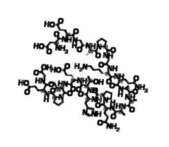 CC[C@H](C)[C@H](NC(=O)[C@H](CCC(=O)O)NC(=O)[C@@H](NC(=O)[C@H](Cc1c[nH]cn1)NC(=O)[C@@H]1CCCN1C(=O)[C@H](CCC(N)=O)NC(=O)[C@H](C)NC(=O)[C@H](C)NC(=O)[C@H](C)NC(=O)[C@H](CCC(N)=O)NC(=O)[C@H](CCCCN)NC(=O)CNC(=O)[C@@H]1CCCN1C(=O)[C@H](C)NC(=O)CNC(=O)[C@H](CCC(=O)O)NC(=O)[C@@H](N)CC(=O)O)[C@@H](C)O)C(=O)N1CCC[C@H]1C(=O)N[C@@H](CCC(=O)O)C(=O)NCC(=O)O